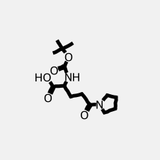 CC(C)(C)OC(=O)NC(CCC(=O)N1CCCC1)C(=O)O